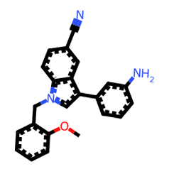 COc1ccccc1Cn1cc(-c2cccc(N)c2)c2cc(C#N)ccc21